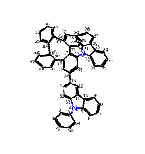 c1ccc(-n2c3ccccc3c3cc(-c4cc5c(c(-n6c7ccccc7c7ccccc76)c4)-c4ccccc4-c4ccccc4-c4ccccc4-5)ccc32)cc1